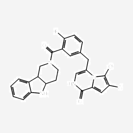 O=C(c1cc(Cc2c[nH]c(=O)c3cc(Cl)c(Cl)n23)ccc1F)N1CCC2Nc3ccccc3C2C1